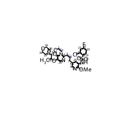 C/C=C\n1c(/C=C\Cc2cnc(OC)c(NS(=O)(=O)c3ccc(F)cc3Cl)c2)ncc(OC(C)CN2CCOCC2)c1=O